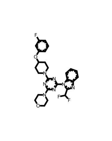 Fc1cccc(OC2CCN(c3nc(N4CCOCC4)nc(-n4c(C(F)F)nc5ccccc54)n3)CC2)c1